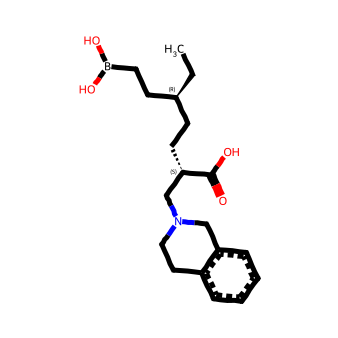 CC[C@H](CCB(O)O)CC[C@@H](CN1CCc2ccccc2C1)C(=O)O